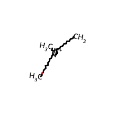 CCCCCCCCCCCCCn1cc[n+](CCCCCCCCCCCC)c1CCC